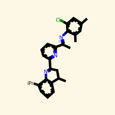 C/C(=N\c1c(C)cc(C)cc1Cl)c1cccc(C2=Nc3c(C(C)C)cccc3C(C)C2)n1